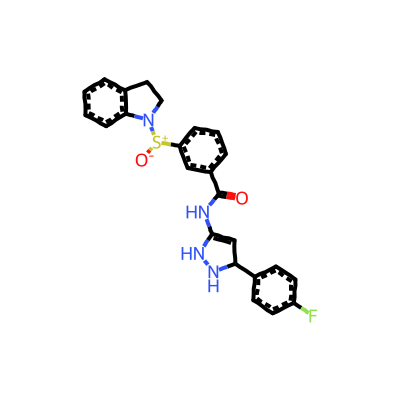 O=C(NC1=CC(c2ccc(F)cc2)NN1)c1cccc([S+]([O-])N2CCc3ccccc32)c1